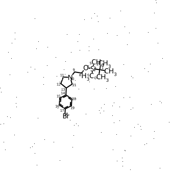 CC(C)(C)[Si](C)(C)OCCN1CCC(c2ccc(Br)cc2)C1